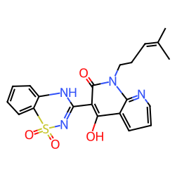 CC(C)=CCCn1c(=O)c(C2=NS(=O)(=O)c3ccccc3N2)c(O)c2cccnc21